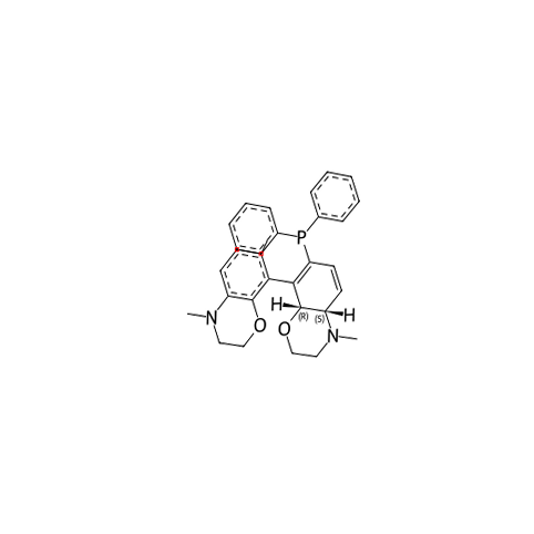 Cc1ccc2c(c1C1=C(P(c3ccccc3)c3ccccc3)C=C[C@H]3[C@@H]1OCCN3C)OCCN2C